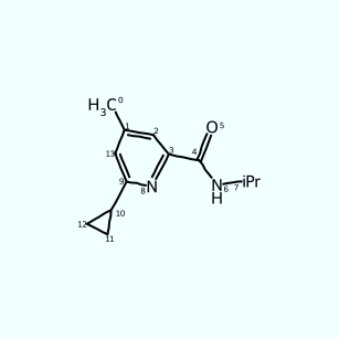 Cc1cc(C(=O)NC(C)C)nc(C2CC2)c1